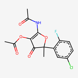 CC(=O)NC1=C(OC(C)=O)C(=O)C(C)(c2cc(Cl)ccc2F)O1